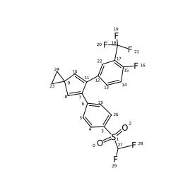 O=S(=O)(c1ccc(C2=CC3(C=C2c2ccc(F)c(C(F)(F)F)c2)CC3)cc1)C(F)F